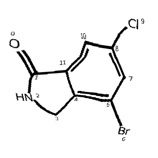 O=C1NCc2c(Br)cc(Cl)cc21